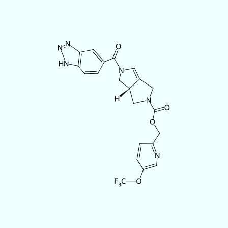 O=C(c1ccc2[nH]nnc2c1)N1C=C2CN(C(=O)OCc3ccc(OC(F)(F)F)cn3)C[C@@H]2C1